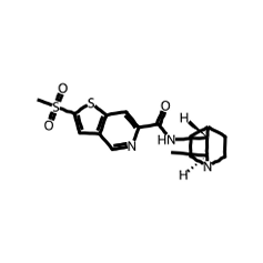 C[C@H]1[C@H](NC(=O)c2cc3sc(S(C)(=O)=O)cc3cn2)C2CCN1CC2